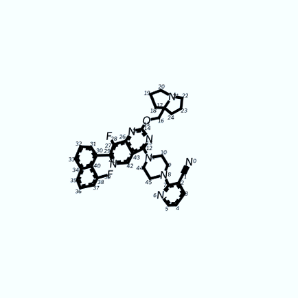 N#Cc1cccnc1N1CCN(c2nc(OCC34CCCN3CCC4)nc3c(F)c(-c4cccc5cccc(F)c45)ncc23)CC1